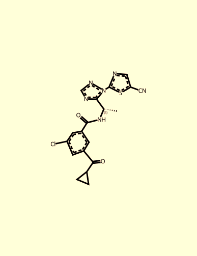 C[C@H](NC(=O)c1cc(Cl)cc(C(=O)C2CC2)c1)c1ncnn1-c1ncc(C#N)s1